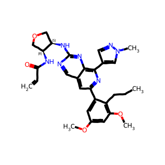 C=CC(=O)N[C@H]1COC[C@H]1Nc1ncc2cc(-c3cc(OC)cc(OC)c3CCC)nc(-c3cnn(C)c3)c2n1